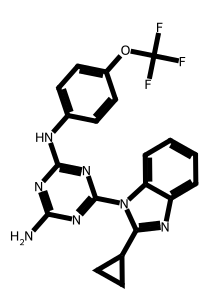 Nc1nc(Nc2ccc(OC(F)(F)F)cc2)nc(-n2c(C3CC3)nc3ccccc32)n1